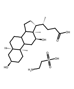 C[C@H](CCC(=O)O)[C@H]1CCC2C3CC[C@@H]4C[C@H](O)CC[C@]4(C)C3C[C@H](O)[C@@]21C.NCCS(=O)(=O)O